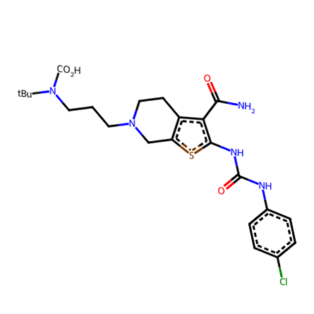 CC(C)(C)N(CCCN1CCc2c(sc(NC(=O)Nc3ccc(Cl)cc3)c2C(N)=O)C1)C(=O)O